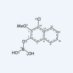 COc1c(OB(O)O)cc2ccccc2c1Cl